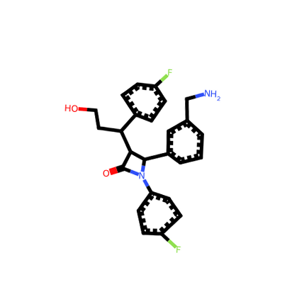 NCc1cccc(C2C(C(CCO)c3ccc(F)cc3)C(=O)N2c2ccc(F)cc2)c1